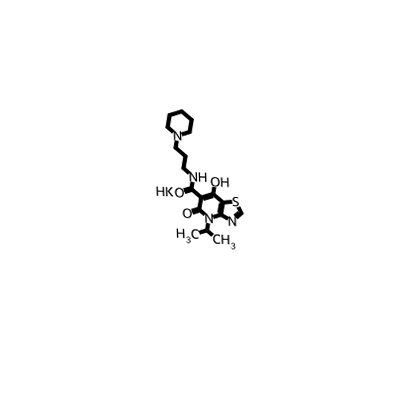 CC(C)n1c(=O)c(C(=O)NCCCN2CCCCC2)c(O)c2scnc21.[KH]